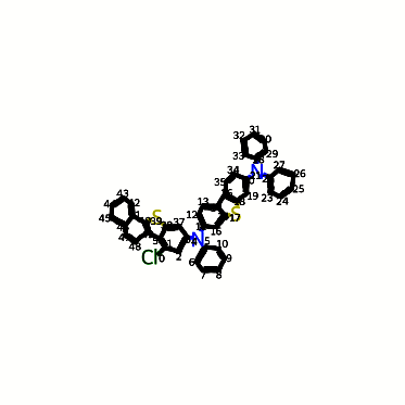 Clc1cc(N(c2ccccc2)c2ccc3c(c2)sc2cc(N(c4ccccc4)c4ccccc4)ccc23)cc2sc3c4ccccc4ccc3c12